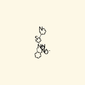 O=[N+]([O-])c1ccccc1CNc1csc(-c2cccnc2)c1